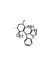 CC[C@]1(c2ccccc2)C2=C(Nc3ncsc31)[C@H](C)C[C@@H](C)C2=O